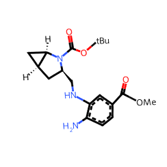 COC(=O)c1ccc(N)c(NC[C@H]2C[C@H]3C[C@H]3N2C(=O)OC(C)(C)C)c1